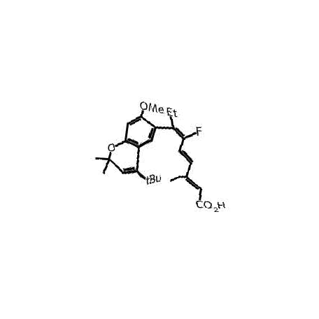 CC/C(=C(F)/C=C/C(C)=C/C(=O)O)c1cc2c(cc1OC)OC(C)(C)C=C2C(C)(C)C